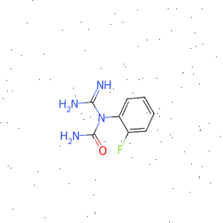 N=C(N)N(C(N)=O)c1ccccc1F